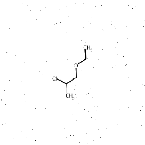 C[CH]OCC(C)Cl